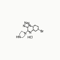 Brc1ccc2c(c1)nc(N1CCNCC1)c1nnnn12.Cl